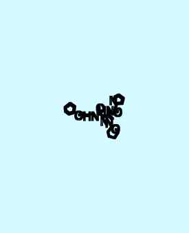 O=C(Nc1cn(C2CCCCO2)nc1C(=O)NCCCOc1ccccc1)c1ccccn1